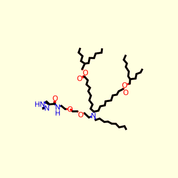 CCCCCCCCCN(CCOCCOCCNC(=O)c1c[nH]cn1)C(CCCCCCCCC(=O)OCC(CCCC)CCCCCC)CCCCCCCCC(=O)OCC(CCCC)CCCCCC